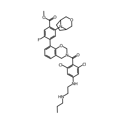 CCCNCCNc1cc(Cl)c(C(=O)N2COc3c(cccc3-c3cc(N4C5CCC4COC5)c(C(=O)OC)cc3F)C2)c(Cl)c1